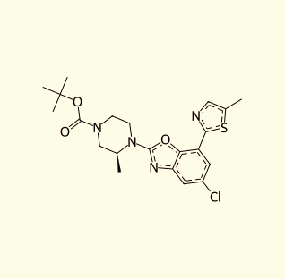 Cc1cnc(-c2cc(Cl)cc3nc(N4CCN(C(=O)OC(C)(C)C)C[C@@H]4C)oc23)s1